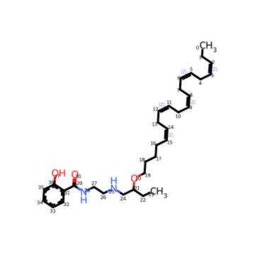 CC/C=C\C/C=C\C/C=C\C/C=C\C/C=C\CCCCOC(CC)CNCCNC(=O)c1ccccc1O